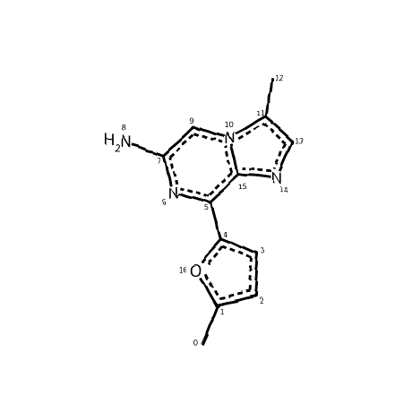 Cc1ccc(-c2nc(N)cn3c(C)cnc23)o1